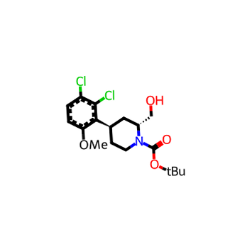 COc1ccc(Cl)c(Cl)c1[C@@H]1CCN(C(=O)OC(C)(C)C)[C@@H](CO)C1